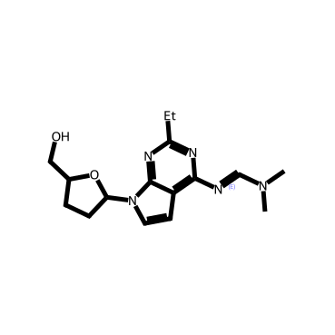 CCc1nc(/N=C/N(C)C)c2ccn(C3CCC(CO)O3)c2n1